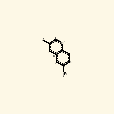 Cc1cnc2ccc(C(C)C)cc2c1